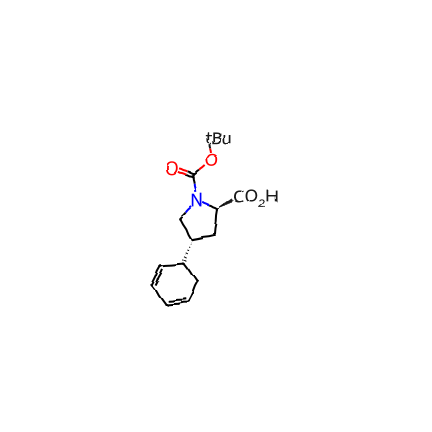 CC(C)(C)OC(=O)N1C[C@@H](C2C=CC=CC2)C[C@@H]1C(=O)O